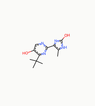 Cc1[nH]c(O)nc1-c1ncc(O)c(C(C)(C)C)n1